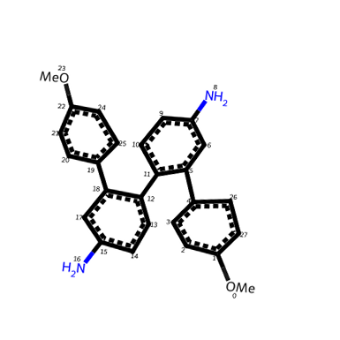 COc1ccc(-c2cc(N)ccc2-c2ccc(N)cc2-c2ccc(OC)cc2)cc1